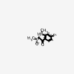 CNc1cc(F)ccc1C(=O)C[S+](C)[O-]